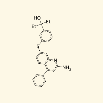 CCC(O)(CC)c1cccc(Sc2ccc3c(-c4ccccc4)cc(N)nc3c2)c1